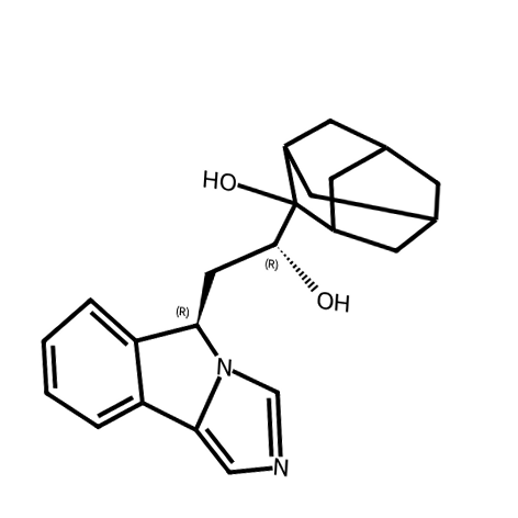 O[C@H](C[C@@H]1c2ccccc2-c2cncn21)C1(O)C2CC3CC(C2)CC1C3